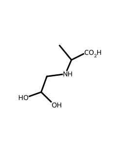 CC(NCC(O)O)C(=O)O